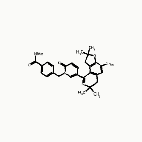 CNC(=O)c1ccc(Cn2cc(C3=NC(C)(C)Cc4cc(OC)c5c(c43)CC(C)(C)O5)ccc2=O)cc1